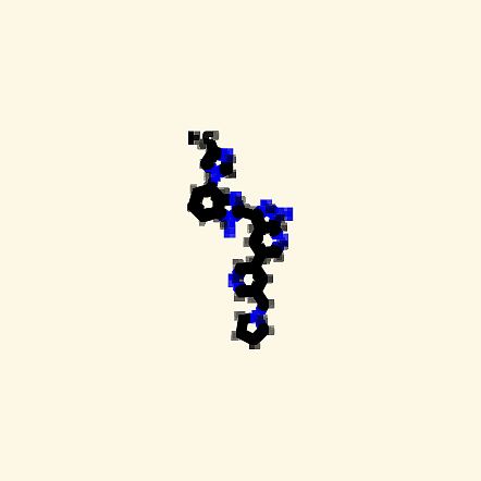 Cc1cn(-c2cccc3[nH]c(-c4n[nH]c5ncc(-c6cncc(CN7CCCC7)c6)cc45)nc23)cn1